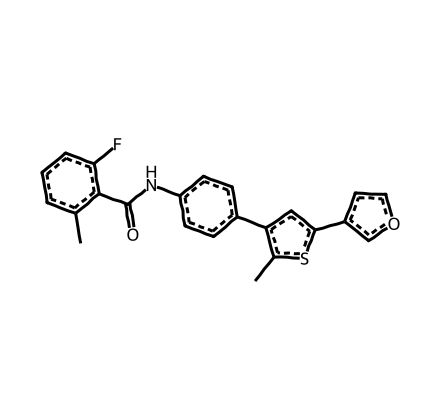 Cc1cccc(F)c1C(=O)Nc1ccc(-c2cc(-c3ccoc3)sc2C)cc1